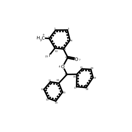 Cc1cccc(C(=O)OC(c2ccccc2)c2ccccc2)c1I